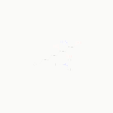 CCCCCCCCCCCCCCC(O)C(O)C(N)CO.CN(C)C